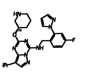 CC(C)c1cnn2c(NCc3ccc(F)cc3-n3cccn3)nc(O[C@@H]3CCCNC3)nc12